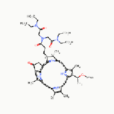 CCCCCCOC(C)c1c(C)c2cc3nc(c4c5[nH]c(cc6nc(cc1[nH]2)C(C)=C6CC)c(C)c5C(=O)C4)[C@@H](CCC(=O)N(CC(=O)N(CC(=O)O)CC(=O)O)CC(=O)N(CC(=O)O)CC(=O)O)[C@@H]3C